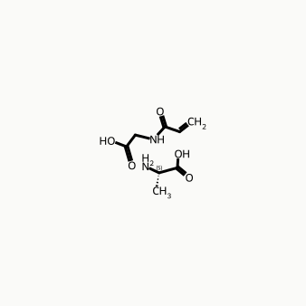 C=CC(=O)NCC(=O)O.C[C@H](N)C(=O)O